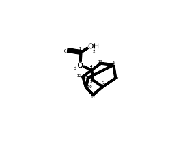 C=C(O)OC12CC3CC(CC(C3)C1)C2